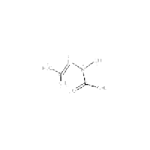 CC(C)=NN(C)C(N)=O